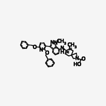 C[C@H]1CC2(CC[C@H]1Nc1cccc3c(-c4ccc(OCc5ccccc5)nc4OCc4ccccc4)nn(C)c13)CN(C(=O)O)C2